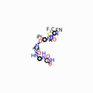 CC(C)c1cc(N2C(=S)N(c3cnc(C#N)c(C(F)(F)F)c3)C(=O)C2(C)C)ccc1OCCN1C[C@@H](C)N(CC(=O)Nc2cccc(NC3CCC(=O)NC3=O)c2)[C@@H](C)C1